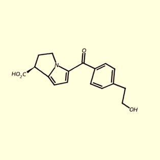 O=C(c1ccc(CCO)cc1)c1ccc2n1CC[C@@H]2C(=O)O